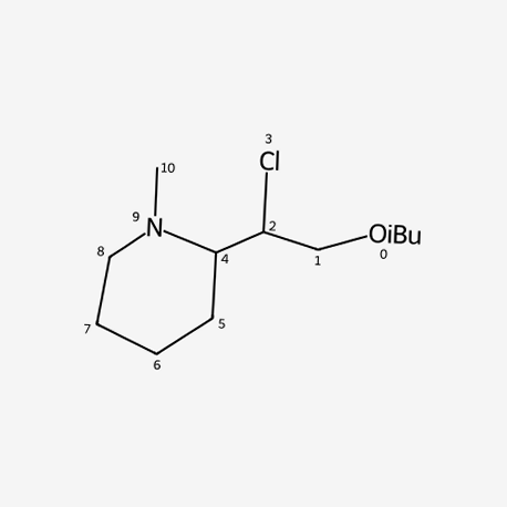 CC(C)COCC(Cl)C1CCCCN1C